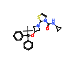 CC(C)(C)[Si](OC1CN(C2SC=CN2C(=O)NC2CC2)C1)(c1ccccc1)c1ccccc1